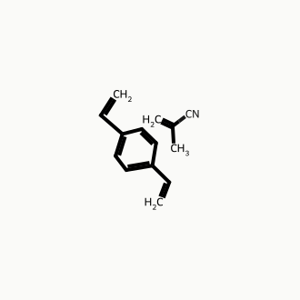 C=C(C)C#N.C=Cc1ccc(C=C)cc1